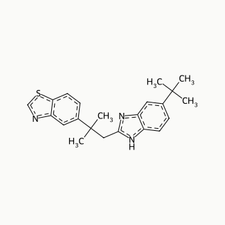 CC(C)(C)c1ccc2[nH]c(CC(C)(C)c3ccc4scnc4c3)nc2c1